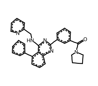 O=C(c1cccc(-c2nc(NCc3ccccn3)c3c(-c4ccccc4)cccc3n2)c1)N1CCCC1